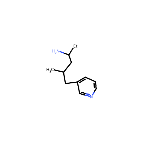 CCC(N)CC(C)Cc1cccnc1